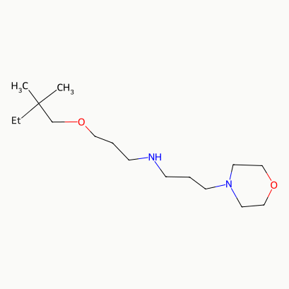 CCC(C)(C)COCCCNCCCN1CCOCC1